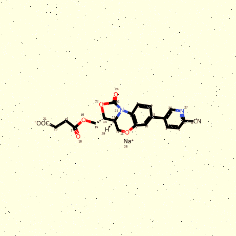 N#Cc1ccc(-c2ccc3c(c2)OC[C@H]2[C@H](COC(=O)CCC(=O)[O-])OC(=O)N32)cn1.[Na+]